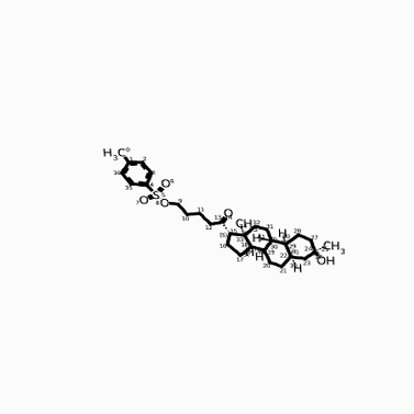 Cc1ccc(S(=O)(=O)OCCCCC(=O)[C@H]2CC[C@H]3[C@@H]4CC[C@@H]5C[C@](C)(O)CC[C@@H]5[C@H]4CC[C@]23C)cc1